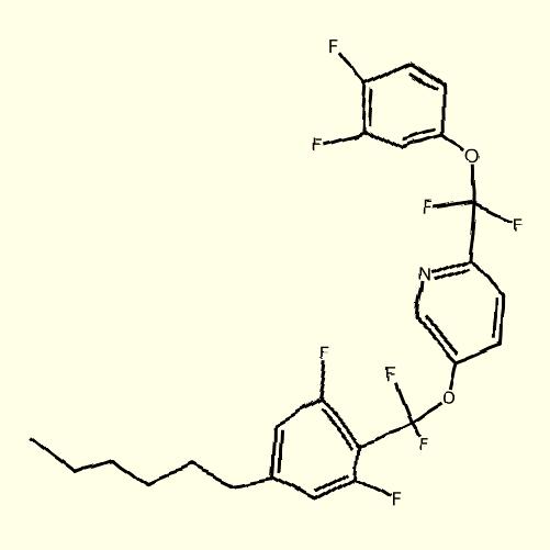 CCCCCCc1cc(F)c(C(F)(F)Oc2ccc(C(F)(F)Oc3ccc(F)c(F)c3)nc2)c(F)c1